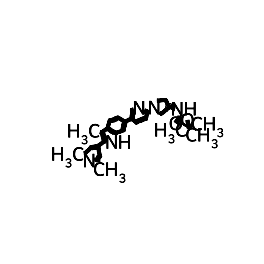 Cc1cc(-c2[nH]c3cc(-c4ccc(N5CC[C@@H](NC(=O)OC(C)(C)C)C5)nc4)ccc3c2C)cc(C)n1